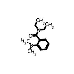 CCN(CC)C(=O)c1ccccc1B(C)C